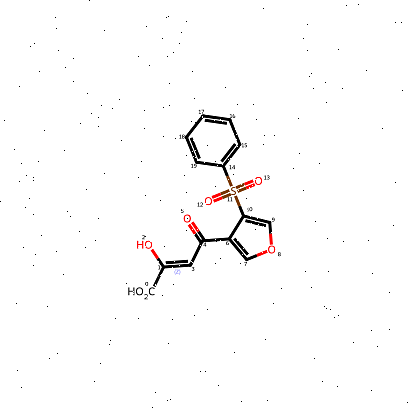 O=C(O)/C(O)=C/C(=O)c1cocc1S(=O)(=O)c1ccccc1